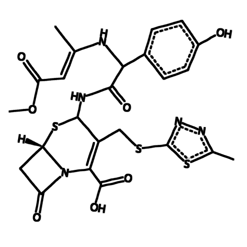 COC(=O)C=C(C)NC(C(=O)NC1S[C@H]2CC(=O)N2C(C(=O)O)=C1CSc1nnc(C)s1)c1ccc(O)cc1